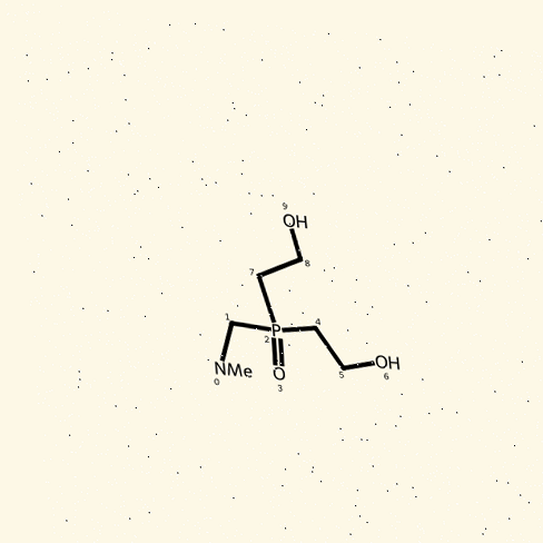 CNCP(=O)(CCO)CCO